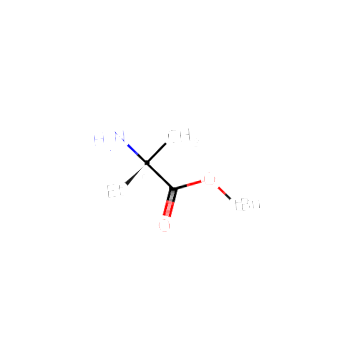 CC[C@](C)(N)C(=O)OC(C)(C)C